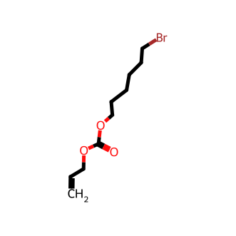 C=CCOC(=O)OCCCCCCBr